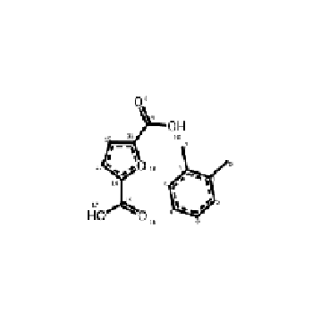 Cc1ccccc1C.O=C(O)c1ccc(C(=O)O)o1